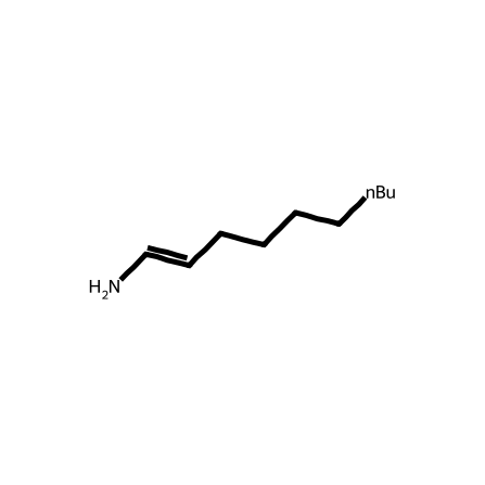 CCCCCCCC/C=C/N